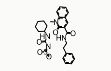 Cn1c(=O)c(C(=O)NCCc2ccccc2)cc2ccccc21.O=C(N=S(=O)=O)NC1CCCCC1